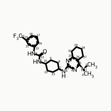 CN(C)c1nc(NC2CCC(NC(=O)Nc3cccc(C(F)(F)F)c3)CC2)nc2c1CCCC2